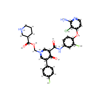 Nc1nccc(Oc2ccc(NC(=O)c3cn(COC(=O)C4CCCNC4)cc(-c4ccc(F)cc4)c3=O)cc2F)c1Cl